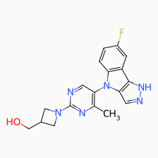 Cc1nc(N2CC(CO)C2)ncc1-n1c2ccc(F)cc2c2[nH]ncc21